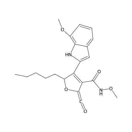 CCCCCC1OC(=C=O)C(C(=O)NOC)=C1c1cc2cccc(OC)c2[nH]1